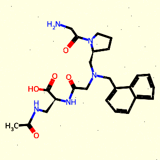 CC(=O)NC[C@H](NC(=O)CN(Cc1cccc2ccccc12)C[C@@H]1CCCN1C(=O)CN)C(=O)O